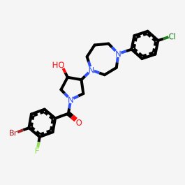 O=C(c1ccc(Br)c(F)c1)N1CC(O)C(N2CCCN(c3ccc(Cl)cc3)CC2)C1